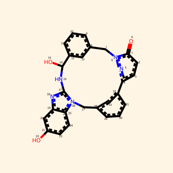 O=c1ccc2nn1Cc1cccc(c1)C(O)Nc1nc3cc(O)ccc3n1Cc1cccc-2c1